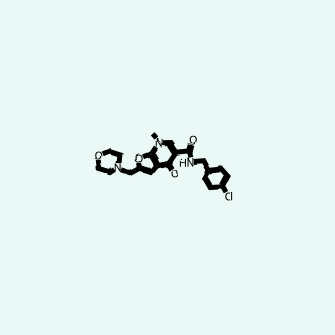 Cn1cc(C(=O)NCc2ccc(Cl)cc2)c(=O)c2cc(CN3CCOCC3)oc21